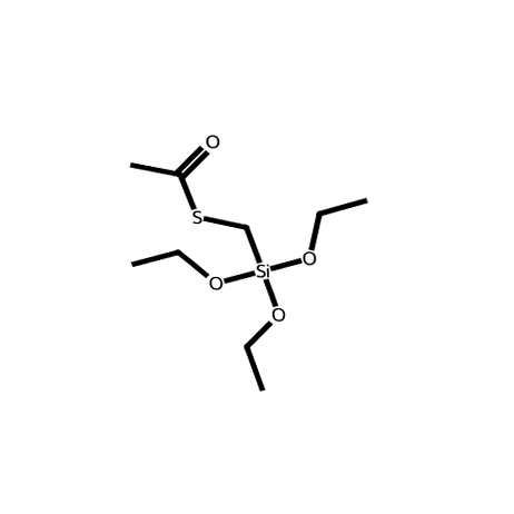 CCO[Si](CSC(C)=O)(OCC)OCC